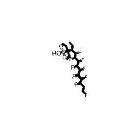 CCC(C(F)C(F)C(F)C(F)C(F)C(F)C(F)C(F)CCF)C(CC)(CC)S(=O)(=O)O